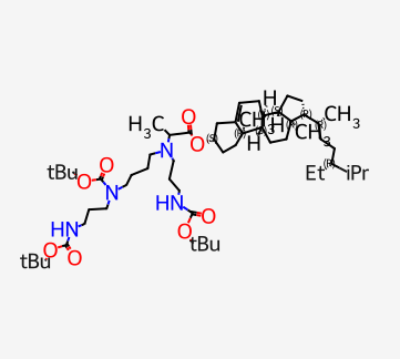 CC[C@H](CC[C@@H](C)[C@H]1CC[C@H]2[C@@H]3CC=C4C[C@@H](OC(=O)C(C)N(CCCCN(CCCNC(=O)OC(C)(C)C)C(=O)OC(C)(C)C)CCCNC(=O)OC(C)(C)C)CC[C@]4(C)[C@H]3CC[C@]12C)C(C)C